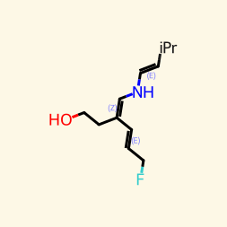 CC(C)/C=C/N/C=C(\C=C\CF)CCO